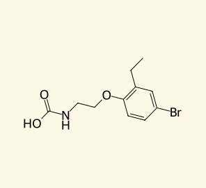 CCc1cc(Br)ccc1OCCNC(=O)O